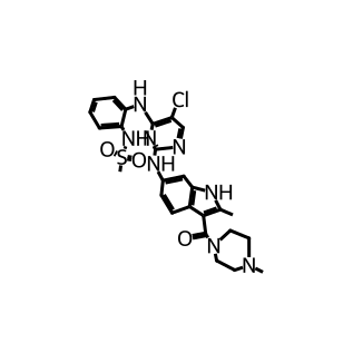 Cc1[nH]c2cc(Nc3ncc(Cl)c(Nc4ccccc4NS(C)(=O)=O)n3)ccc2c1C(=O)N1CCN(C)CC1